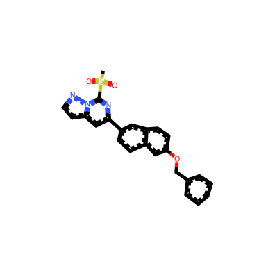 CS(=O)(=O)c1nc(-c2ccc3cc(OCc4ccccc4)ccc3c2)cc2ccnn12